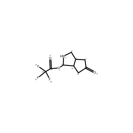 O=C1CC2CNC(OC(=O)C(F)(F)F)C2C1